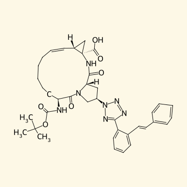 CC(C)(C)OC(=O)N[C@H]1CCCCC/C=C\[C@@H]2C[C@@]2(C(=O)O)NC(=O)[C@@H]2C[C@@H](n3nnc(-c4ccccc4/C=C/c4ccccc4)n3)CN2C1=O